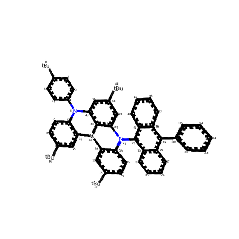 CC(C)(C)c1ccc(N2c3ccc(C(C)(C)C)cc3B3c4cc(C(C)(C)C)ccc4N(c4c5ccccc5c(-c5ccccc5)c5ccccc45)c4cc(C(C)(C)C)cc2c43)cc1